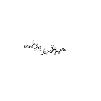 CC(CC(=O)OCCN(C)CCOC(=O)CC(C)CC(C)(C)C)CC(C)(C)C